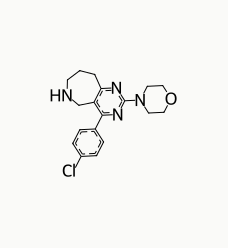 Clc1ccc(-c2nc(N3CCOCC3)nc3c2CNCCC3)cc1